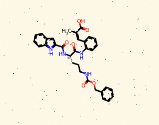 CC(=Cc1ccccc1NC(=O)[C@H](CCCNC(=O)OCc1ccccc1)NC(=O)c1cc2ccccc2[nH]1)C(=O)O